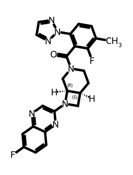 Cc1ccc(-n2nccn2)c(C(=O)N2CC[C@H]3CN(c4cnc5cc(F)ccc5n4)[C@H]3C2)c1F